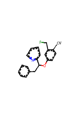 N#Cc1ccc(OC(Cc2ccccc2)c2ccccn2)cc1CF